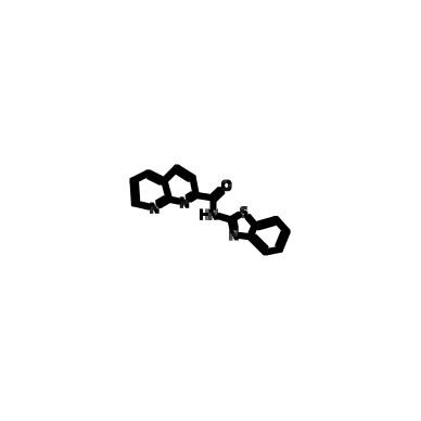 O=C(Nc1nc2ccccc2s1)c1ccc2cccnc2n1